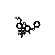 Cc1cc([N+]2(S(=O)(=O)C(F)(F)F)C=C(CN)C=CC2)c(Cl)cc1Oc1ccccc1